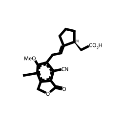 COc1c(C)c2c(c(C#N)c1CC=C1CCC[C@H]1CC(=O)O)C(=O)OC2